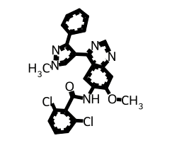 COc1cc2ncnc(-c3cn(C)nc3-c3ccccc3)c2cc1NC(=O)c1c(Cl)cccc1Cl